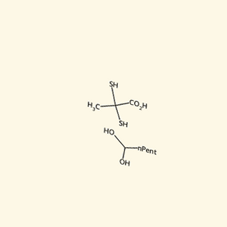 CC(S)(S)C(=O)O.CCCCCC(O)O